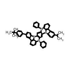 CC(C)c1ccc2c(c1)-c1cccc3c1B2c1cc2c(cc1N3c1ccccc1)B1c3ccc(-c4ccc(C(C)(C)C)cc4)cc3-c3cccc(c31)N2c1ccccc1